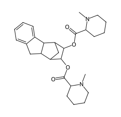 CN1CCCCC1C(=O)OC1C2CC(C1OC(=O)C1CCCCN1C)C1c3ccccc3CC21